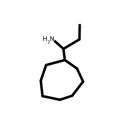 CCC(N)C1CCCCCCC1